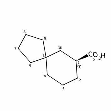 O=C(O)[C@H]1CCCC2(CCCC2)C1